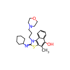 Cc1c(O)c2ccccc2c2c1sc(=NC1CCCCC1)n2CCCN1CCOCC1